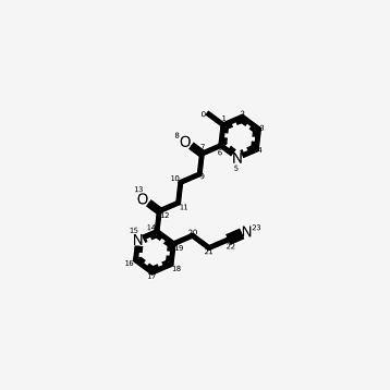 Cc1cccnc1C(=O)CCCC(=O)c1ncccc1CCC#N